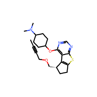 CC#CCOC[C@H]1CCc2sc3ncnc(OC4CCC(N(C)C)CC4)c3c21